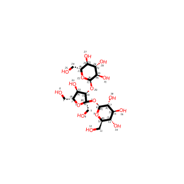 OC[C@H]1O[C@](CO)(O[C@H]2O[C@H](CO)[C@@H](O)[C@H](O)[C@H]2O)[C@@H](O[C@H]2O[C@H](CO)[C@@H](O)[C@H](O)[C@H]2O)[C@@H]1O